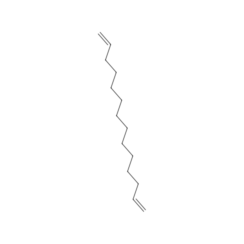 C=CCCCCCCCCCCC=C